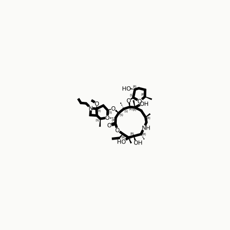 CCCN1CC2[C@H](C)O[C@@H](O[C@H]3[C@H](C)[C@@H](O[C@@H]4O[C@H](C)CC[C@H]4O)[C@](C)(O)C[C@@H](C)CN[C@H](C)[C@@H](O)[C@](C)(O)[C@@H](CC)OC(=O)[C@@H]3C)C[C@@]21OC